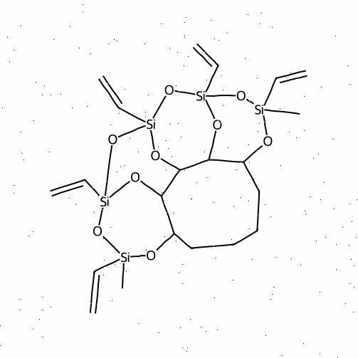 C=C[Si]1(C)OC2CCCCC3O[Si](C)(C=C)O[Si]4(C=C)OC3C3O[Si](C=C)(O[Si](C=C)(OC23)O1)O4